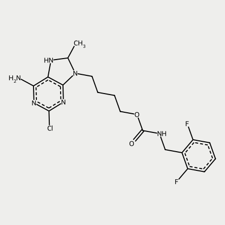 CC1Nc2c(N)nc(Cl)nc2N1CCCCOC(=O)NCc1c(F)cccc1F